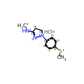 CNC1=NN(c2ccc(SC)cc2)CC1.Cl